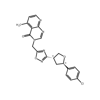 Cc1ccnc2ncn(Cc3nc([C@@H]4CO[C@@H](c5ccc(Cl)cc5)C4)no3)c(=O)c12